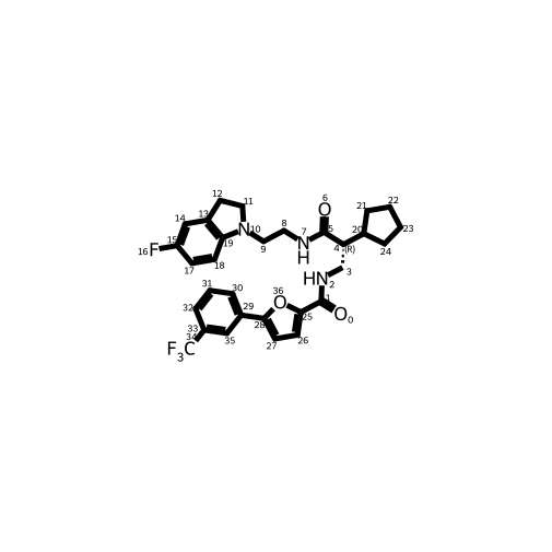 O=C(NC[C@H](C(=O)NCCN1CCc2cc(F)ccc21)C1CCCC1)c1ccc(-c2cccc(C(F)(F)F)c2)o1